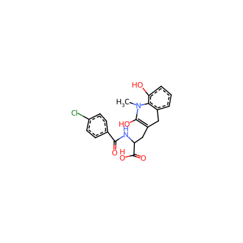 CN1C(O)=C(CC(NC(=O)c2ccc(Cl)cc2)C(=O)O)Cc2cccc(O)c21